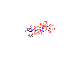 COCCOCC(=O)NCC1O[C@H](OP(=O)(O)OP(=O)(O)OCC2OC(n3ccc(=O)[nH]c3=O)[C@H](O)[C@@H]2O)C(O)[C@@H](O)[C@H]1O